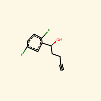 C#CCC[C@H](O)c1cc(F)ccc1F